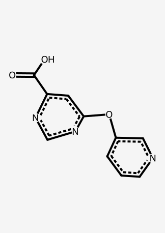 O=C(O)c1cc(Oc2cccnc2)ncn1